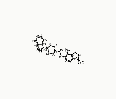 CC(=O)N1CCc2c1ccc(CCN1CCN(c3nsc4ccccc34)CC1)c2F